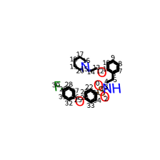 O=S(=O)(NCCc1ccccc1OCCN1CCCCC1)c1ccc(Oc2ccc(F)cc2)cc1